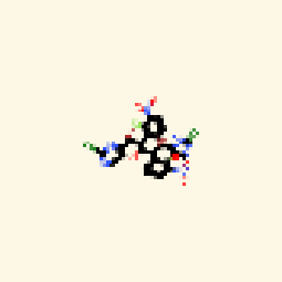 O=C(C(c1cccc([N+](=O)[O-])c1F)C(Br)c1ccnc(Cl)n1)C(c1cccc([N+](=O)[O-])c1F)C(Br)c1ccnc(Cl)n1